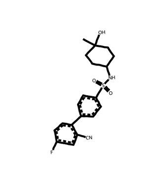 CC1(O)CCC(NS(=O)(=O)c2ccc(-c3ccc(F)cc3C#N)cc2)CC1